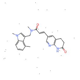 Cc1cccc2c1c(CN(C)C(=O)/C=C/c1cnc3c(c1)CCC(=O)N3)cn2C